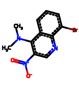 CN(C)c1c([N+](=O)[O-])cnc2c(Br)cccc12